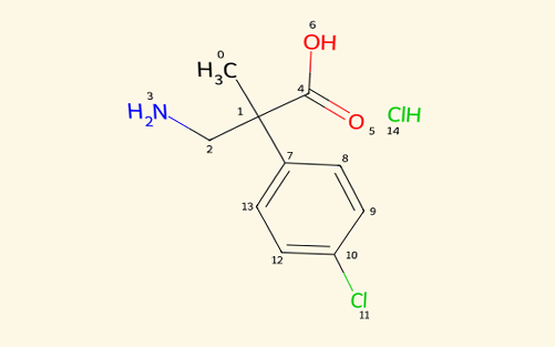 CC(CN)(C(=O)O)c1ccc(Cl)cc1.Cl